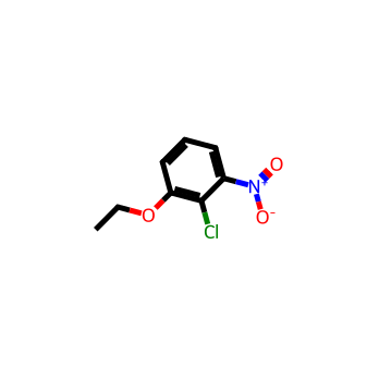 CCOc1cccc([N+](=O)[O-])c1Cl